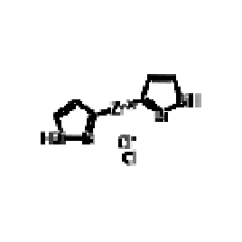 [CH]1=C[C]([Zr+2][C]2=[Bi][BiH][CH]=C2)=[Bi][BiH]1.[Cl-].[Cl-]